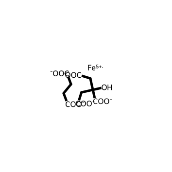 O=C([O-])CC(O)(CC(=O)[O-])C(=O)[O-].O=C([O-])CCC(=O)[O-].[Fe+5]